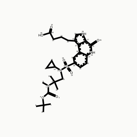 CN(C(=O)OC(C)(C)C)C(C)(C)CN(C1CC1)S(=O)(=O)c1ccc2[nH]c(=O)c3[nH]cc(CCCC(=O)O)c3c2c1